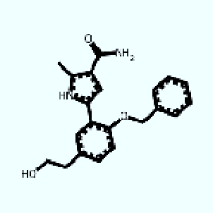 Cc1[nH]c(-c2cc(CCO)ccc2OCc2ccccc2)cc1C(N)=O